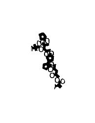 C=C(I)C(=O)OCC(=O)CC1COC2(CCCC2C2CCC3(C2)OCC(C(OC(=O)C(C)(C)I)C2COC4(CCCC4)O2)O3)O1